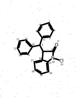 O=C1C(C(c2ccccc2)c2ccccc2)c2ccccc2N1Cl